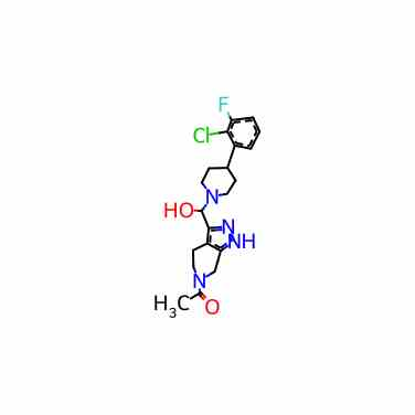 CC(=O)N1CCc2c(C(O)N3CCC(c4cccc(F)c4Cl)CC3)n[nH]c2C1